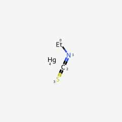 CCN=C=S.[Hg]